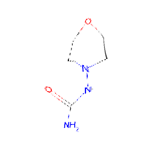 NC(=O)[N]N1CCOCC1